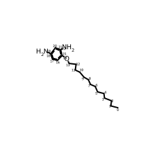 CCCCCCCCCCCCCCOc1ccc(N)cc1N